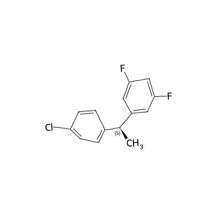 C[C@@H](c1ccc(Cl)cc1)c1cc(F)cc(F)c1